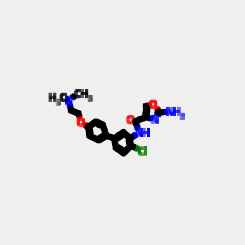 CN(C)CCOc1ccc(-c2ccc(Cl)c(NC(=O)c3coc(N)n3)c2)cc1